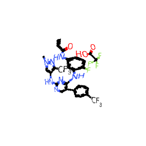 C=CC(=O)Nc1ccc(F)c(Nc2nc(Nc3cn(C)nc3C(F)(F)F)ncc2-c2ccc(C(F)(F)F)cc2)c1.O=C(O)C(F)(F)F